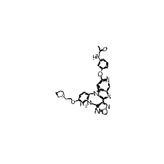 CC(=O)Nc1cccc(Oc2cc3c(cn2)nc(-c2nonc2N)n3-c2ccc(OCCN3CCCC3)cc2)c1